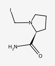 NC(=O)[C@@H]1CCCN1CI